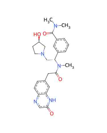 CN(C)C(=O)c1cccc([C@@H](CN2CC[C@@H](O)C2)N(C)C(=O)Cc2ccc3ncc(=O)[nH]c3c2)c1